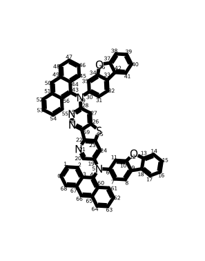 c1ccc2c(N(c3ccc4c(c3)oc3ccccc34)c3cnc4c(c3)sc3cc(N(c5ccc6c(c5)oc5ccccc56)c5c6ccccc6cc6ccccc56)nnc34)c3ccccc3cc2c1